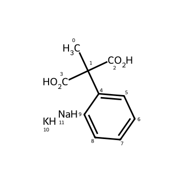 CC(C(=O)O)(C(=O)O)c1ccccc1.[KH].[NaH]